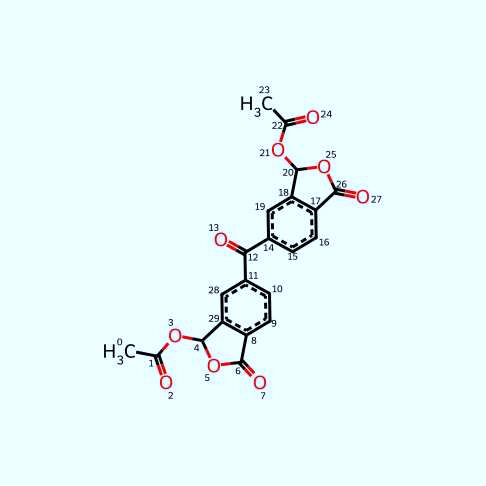 CC(=O)OC1OC(=O)c2ccc(C(=O)c3ccc4c(c3)C(OC(C)=O)OC4=O)cc21